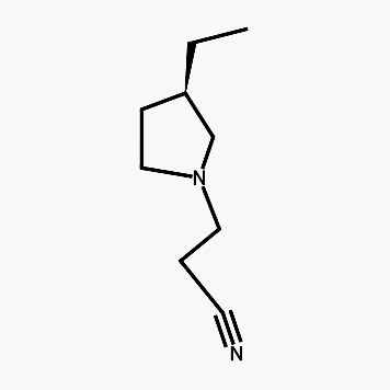 CC[C@@H]1CCN(CCC#N)C1